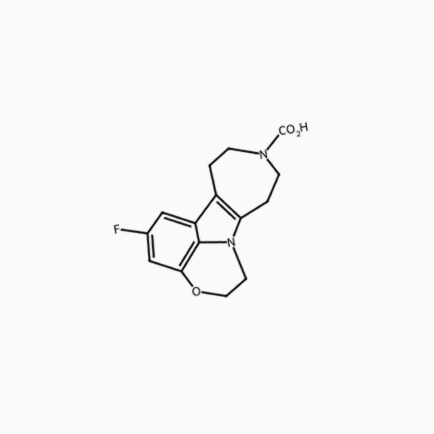 O=C(O)N1CCc2c(n3c4c(cc(F)cc24)OCC3)CC1